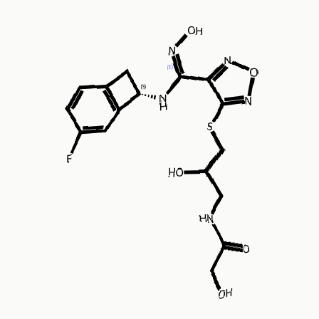 O=C(CO)NCC(O)CSc1nonc1/C(=N\O)N[C@H]1Cc2ccc(F)cc21